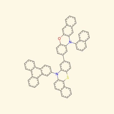 c1ccc2cc3c(cc2c1)Oc1ccc(-c2ccc4c(c2)N(c2ccc5c6ccccc6c6ccccc6c5c2)c2ccc5ccccc5c2S4)cc1N3c1cccc2ccccc12